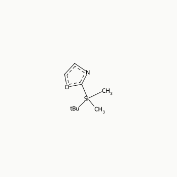 CC(C)(C)[Si](C)(C)c1ncco1